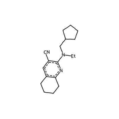 CCN(CC1CCCC1)c1nc2c(cc1C#N)CCCC2